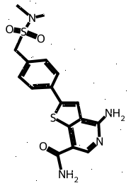 CN(C)S(=O)(=O)Cc1ccc(-c2cc3c(N)ncc(C(N)=O)c3s2)cc1